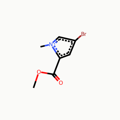 COC(=O)c1cc(Br)cn1C